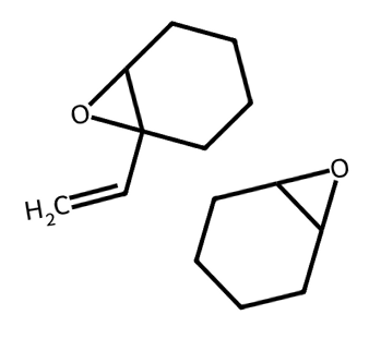 C1CCC2OC2C1.C=CC12CCCCC1O2